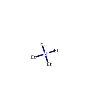 [CH2]C[N+](CC)(CC)CC